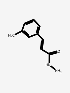 Cc1cccc(C=CC(=O)NN)c1